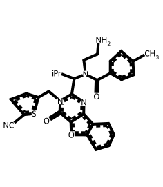 Cc1ccc(C(=O)N(CCN)C(c2nc3c(oc4ccccc43)c(=O)n2Cc2ccc(C#N)s2)C(C)C)cc1